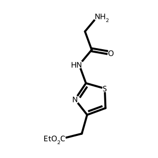 CCOC(=O)Cc1csc(NC(=O)CN)n1